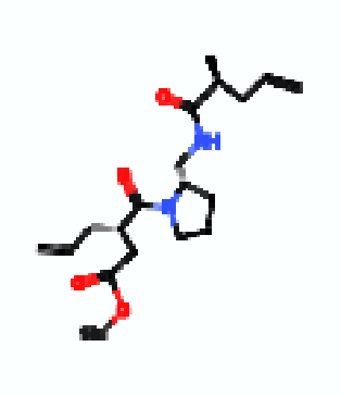 C=CC[C@@H](CC(=O)OC(C)(C)C)C(=O)N1CCC[C@H]1CNC(=O)[C@@H](C)CC=C